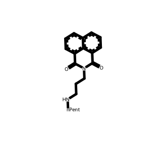 CCCCCNCCCN1C(=O)c2cccc3cccc(c23)C1=O